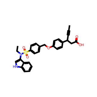 CC#CC(CC(=O)O)c1ccc(OCc2ccc(S(=O)(=O)N(CC)c3c[nH]c4ccccc34)cc2)cc1